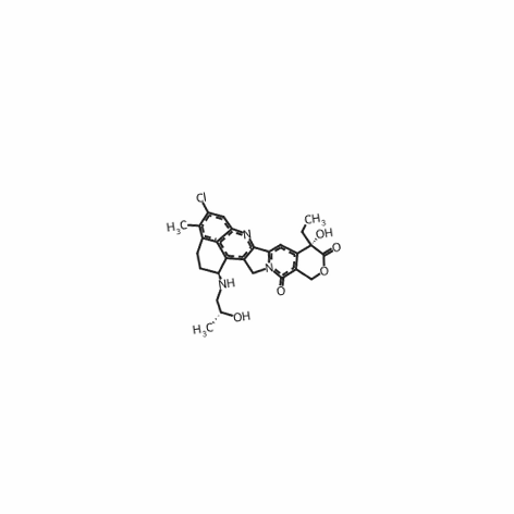 CC[C@@]1(O)C(=O)OCc2c1cc1n(c2=O)Cc2c-1nc1cc(Cl)c(C)c3c1c2[C@@H](NC[C@@H](C)O)CC3